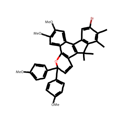 COc1ccc(C2(c3ccc(OC)cc3)C=Cc3c4c(c5cc(OC)c(OC)cc5c3O2)-c2cc(Br)c(C)c(C)c2C4(C)C)cc1